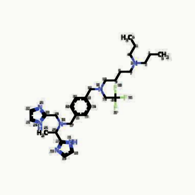 CCCN(CCC)CCCCN(Cc1ccc(CN(Cc2ncc[nH]2)C(C)c2ncc[nH]2)cc1)CC(F)(F)F